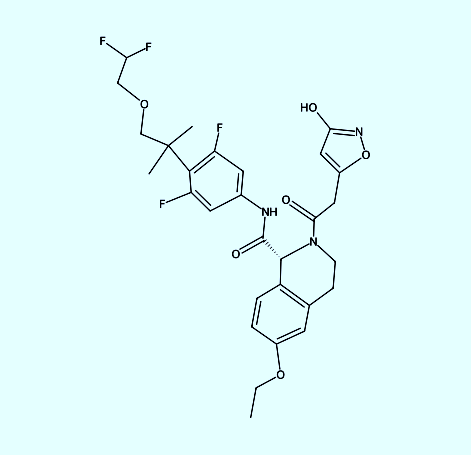 CCOc1ccc2c(c1)CCN(C(=O)Cc1cc(O)no1)[C@H]2C(=O)Nc1cc(F)c(C(C)(C)COCC(F)F)c(F)c1